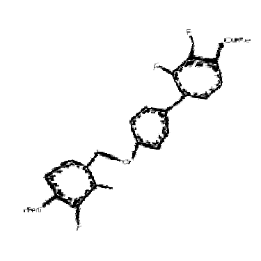 CCCCCc1ccc(COc2ccc(-c3ccc(OC)c(F)c3F)cc2)c(C)c1F